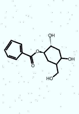 O=C(O[C@@H]1CC(CO)C(O)C[C@H]1O)c1ccccc1